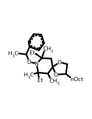 CCCCCCCCC1COC2(CC(C)(CC)N(OC(C)c3ccccc3)C(C)(CC)C2C)O1